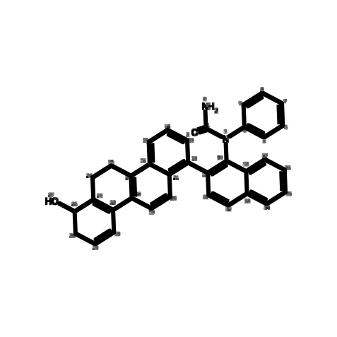 NC(=O)N(c1ccccc1)c1c(-c2cccc3c4c(ccc23)C2=C(CC4)C(O)CC=C2)ccc2ccccc12